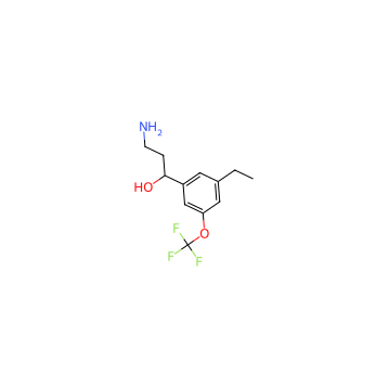 CCc1cc(OC(F)(F)F)cc(C(O)CCN)c1